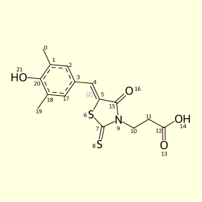 Cc1cc(/C=C2\SC(=S)N(CCC(=O)O)C2=O)cc(C)c1O